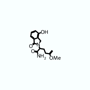 C=C(CCC(C(N)=O)N1Cc2c(O)cccc2C1=O)OC